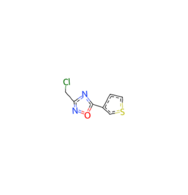 ClCc1noc(-c2ccsc2)n1